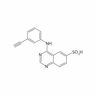 C#Cc1cccc(Nc2ncnc3ccc(S(=O)(=O)O)cc23)c1